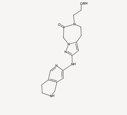 COCCN1CCc2cc(Nc3cc4c(cn3)CCNC4)nn2CC1=O